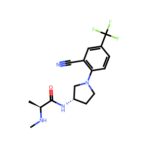 CN[C@@H](C)C(=O)N[C@H]1CCN(c2ccc(C(F)(F)F)cc2C#N)C1